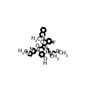 COCCN(C)CCn1c(-c2cc(F)ccc2C(=O)N2Cc3ccccc3C[C@H]2C)cc(C(=O)N(c2ccc(O)cc2)c2cnc3c(c2)CCN3C)c1C